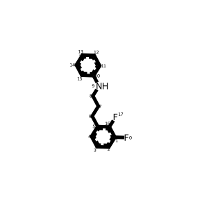 Fc1cccc(CCCNc2cc[c]cc2)c1F